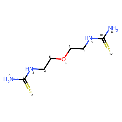 NC(=S)NCCOCCNC(N)=S